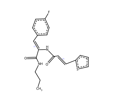 CCCNC(=O)/C(=C/c1ccc(F)cc1)NC(=O)/C=C/c1cccs1